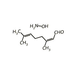 CC(C)=CCCC(C)=CC=O.NO